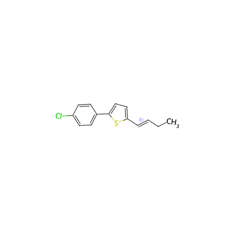 CC/C=C/c1ccc(-c2ccc(Cl)cc2)s1